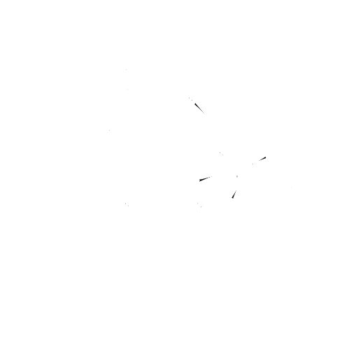 C=CCCC(NC(=O)[C@@H]1[C@@H]2[C@H](CN1C(=O)[C@@H](NC(=O)OC13CC4CC(CC(C4)C1)C3)C1CCCCC1)C2(C)C)C(=O)C(=O)NCC=C